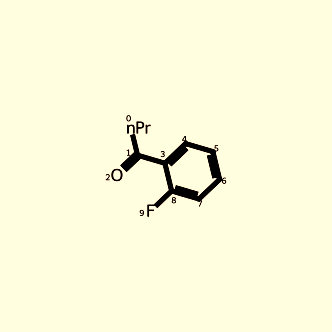 [CH2]CCC(=O)c1ccccc1F